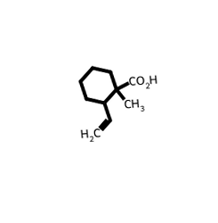 C=CC1CCCCC1(C)C(=O)O